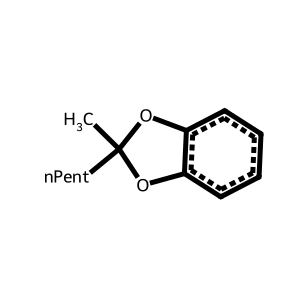 CCCCCC1(C)Oc2ccccc2O1